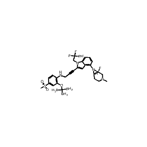 BC(B)(B)Oc1cc(S(C)(=O)=O)ccc1NCC#Cc1cc2c(N3[C@@H]4CCN(C)C[C@]43F)cccc2n1CC(F)(F)P